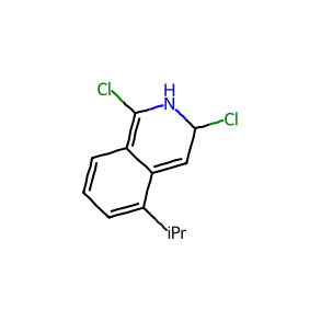 CC(C)c1cccc2c1=CC(Cl)NC=2Cl